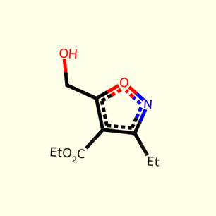 CCOC(=O)c1c(CC)noc1CO